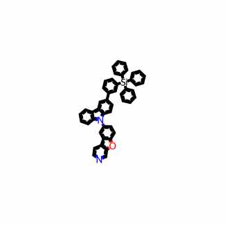 c1ccc([Si](c2ccccc2)(c2ccccc2)c2cccc(-c3ccc4c(c3)c3ccccc3n4-c3ccc4oc5cnccc5c4c3)c2)cc1